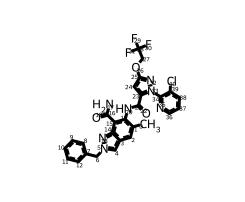 Cc1cc2cn(Cc3ccccc3)nc2c(C(N)=O)c1NC(=O)c1cc(OCC(F)(F)F)nn1-c1ncccc1Cl